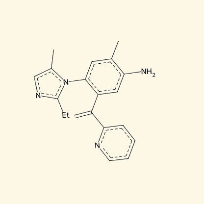 C=C(c1ccccn1)c1cc(N)c(C)cc1-n1c(C)cnc1CC